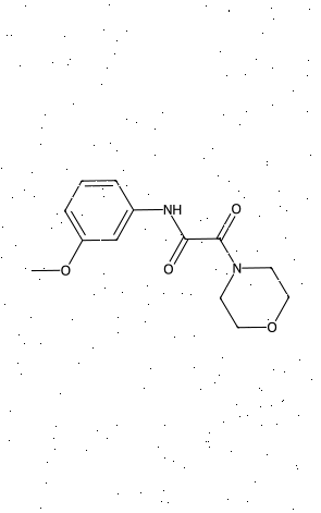 COc1cccc(NC(=O)C(=O)N2CCOCC2)c1